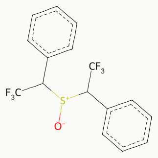 [O-][S+](C(c1ccccc1)C(F)(F)F)C(c1ccccc1)C(F)(F)F